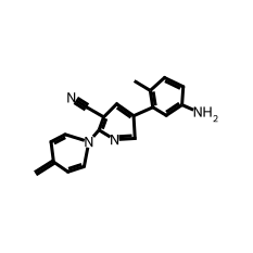 C=C1C=CN(c2ncc(-c3cc(N)ccc3C)cc2C#N)C=C1